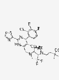 CCOC(=O)C1=C(CN2CC(F)(F)C3C2CON3CCC(C)(C)C(=O)O)NC(c2nccs2)=NC1c1ccc(F)c(F)c1Cl